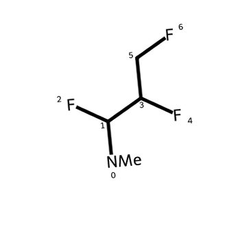 CNC(F)C(F)CF